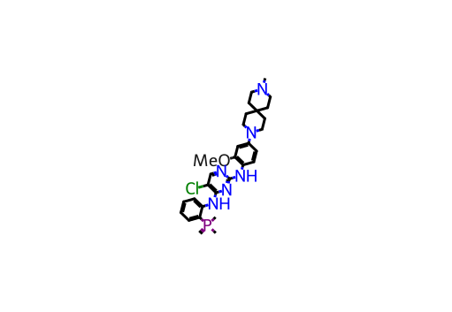 C=P(C)(C)c1ccccc1Nc1nc(Nc2ccc(N3CCC4(CCN(C)CC4)CC3)cc2OC)ncc1Cl